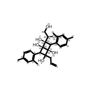 C=CCC1(O)C(c2ccc(C)cc2C)[C@]2(O)[C@](O)([C@H](O)CO)C(c3ccc(C)cc3C)[C@]12O